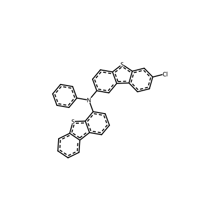 Clc1ccc2c(c1)sc1ccc(N(c3ccccc3)c3cccc4c3sc3ccccc34)cc12